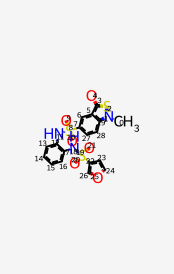 Cn1sc(=O)c2cc(S(=O)(=O)Nc3ccccc3NS(=O)(=O)c3ccoc3)ccc21